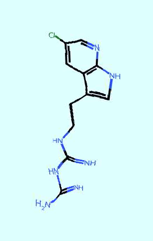 N=C(N)NC(=N)NCCc1c[nH]c2ncc(Cl)cc12